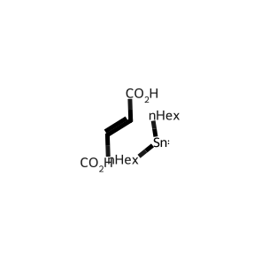 CCCCC[CH2][Sn][CH2]CCCCC.O=C(O)C=CC(=O)O